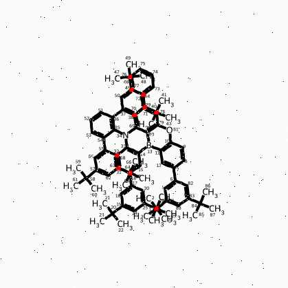 CC(C)(C)c1cc(-c2ccc3c(c2)B2c4cc(-c5cc(C(C)(C)C)cc(C(C)(C)C)c5)ccc4N(c4c(-c5cc(C(C)(C)C)cc(C(C)(C)C)c5)cccc4-c4cc(C(C)(C)C)cc(C(C)(C)C)c4)c4cc(-c5ccccc5)cc(c42)O3)cc(C(C)(C)C)c1